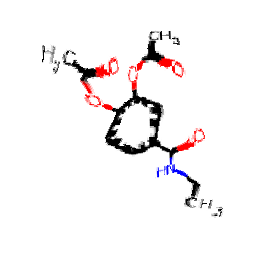 CCNC(=O)c1ccc(OC(C)=O)c(OC(C)=O)c1